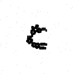 CCN(C(=O)c1ccc(CNc2ncnc(N3CCc4cc(OC)c(OC)cc4C3)n2)cc1)c1cccc(C)c1